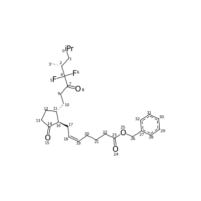 CC(C)C[C@@H](C)C(F)(F)C(=O)CC[C@H]1CCC(=O)[C@@H]1C/C=C\CCCC(=O)OCc1ccccc1